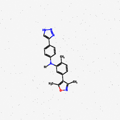 CCN(c1ccc(-c2c[nH]nn2)cc1)c1cc(-c2c(C)noc2C)ccc1C